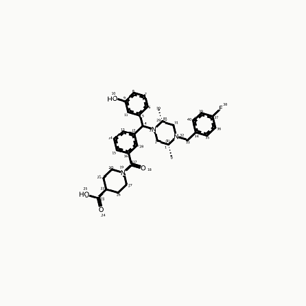 C[C@@H]1CN(C(c2cccc(O)c2)c2cccc(C(=O)N3CCC(C(=O)O)CC3)c2)[C@H](C)CN1Cc1ccc(F)cc1